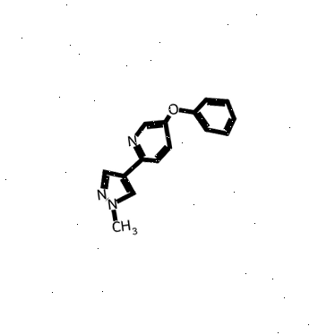 Cn1cc(-c2ccc(Oc3ccccc3)cn2)cn1